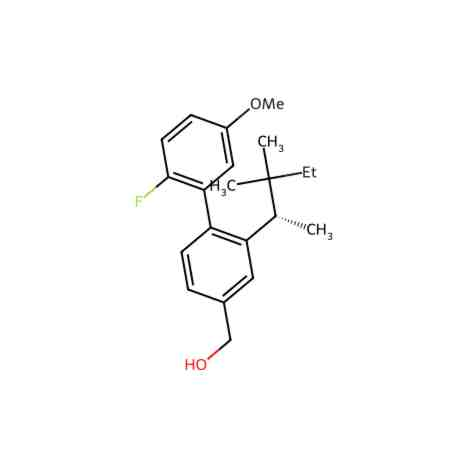 CCC(C)(C)[C@H](C)c1cc(CO)ccc1-c1cc(OC)ccc1F